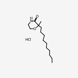 CCCCCCCCCCC1(C)OCCNC1=O.Cl